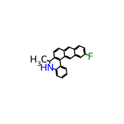 CC1Nc2ccccc2-c2c1ccc1cc3ccc(F)cc3cc21